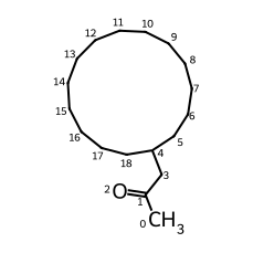 CC(=O)CC1CCCCCCCCCCCCCC1